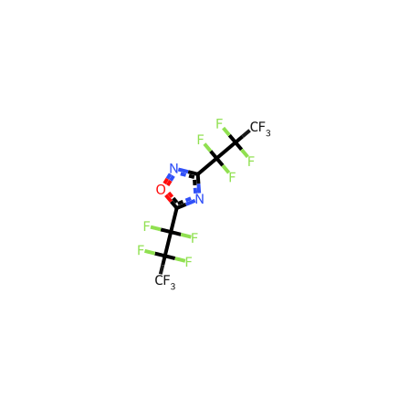 FC(F)(F)C(F)(F)C(F)(F)c1noc(C(F)(F)C(F)(F)C(F)(F)F)n1